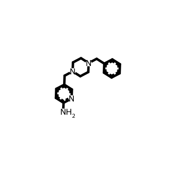 Nc1ccc(CN2CCN(Cc3ccccc3)CC2)cn1